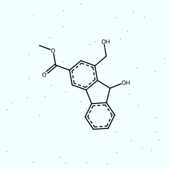 COC(=O)c1cc(CO)c2c(c1)-c1ccccc1C2O